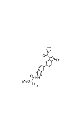 CCn1cc(C(=O)N2CCCC2)c2cc(-c3ccn4nc(NC(=O)[C@H](C)OC)nc4c3)ccc21